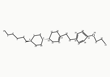 CCCCCC[C@H]1CC[C@H](C2CC=C(CCc3ccc(OCCC)cc3)CC2)CC1